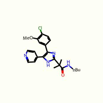 CCCCNC(=O)C(C)(C)c1nc(-c2ccc(Cl)c(OC)c2)c(-c2ccncc2)[nH]1